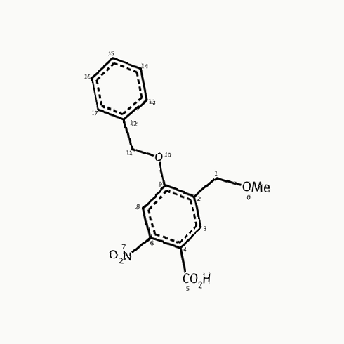 COCc1cc(C(=O)O)c([N+](=O)[O-])cc1OCc1ccccc1